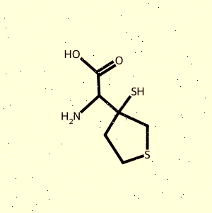 NC(C(=O)O)C1(S)CCSC1